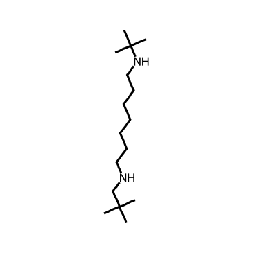 CC(C)(C)CNCCCCCCCNC(C)(C)C